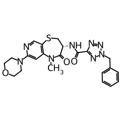 CN1C(=O)[C@@H](NC(=O)c2nnn(Cc3ccccc3)n2)CSc2cnc(N3CCOCC3)cc21